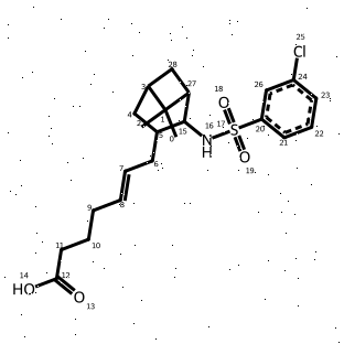 CC1(C)C2CC(CC=CCCCC(=O)O)C(NS(=O)(=O)c3cccc(Cl)c3)C1C2